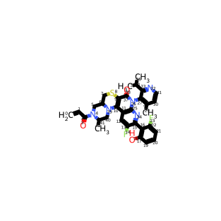 C=CC(=O)N1CC2CSc3c(c4cc(F)c(-c5c(O)cccc5F)nc4n(-c4c(C)ccnc4C(C)C)c3=O)N2CC1C